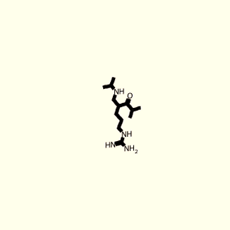 CC(C)NCC(CCCNC(=N)N)C(=O)C(C)C